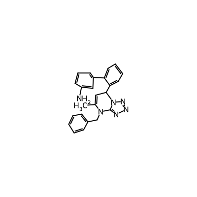 CC1=CC(c2ccccc2-c2cccc(N)c2)n2nnnc2N1Cc1ccccc1